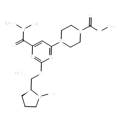 CON(C)C(=O)c1cc(N2CCN(C(=O)OC(C)(C)C)CC2)nc(O[C@@H](C)[C@@H]2CCCN2C)n1